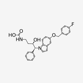 O=C(O)NCC[C@@H](O)[C@H](c1ccccc1)n1ccc2cc(OCc3ccc(F)cc3)ccc21